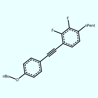 CCCCCc1ccc(C#Cc2ccc(OCCCC)cc2)c(F)c1F